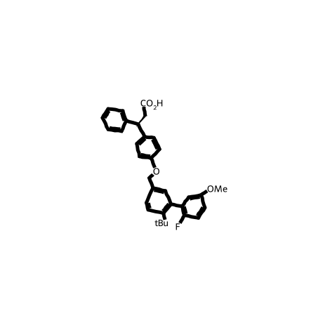 COc1ccc(F)c(-c2cc(COc3ccc([C@H](CC(=O)O)c4ccccc4)cc3)ccc2C(C)(C)C)c1